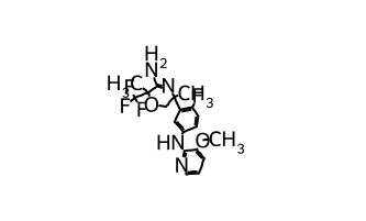 COc1cccnc1Nc1ccc(F)c(C2(C)COC(C)(C(F)(F)F)C(N)=N2)c1